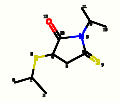 CC(C)SC1CC(=S)N(C(C)C)C1=O